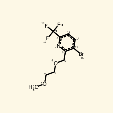 COCCOCc1nc(C(F)(F)F)ccc1Br